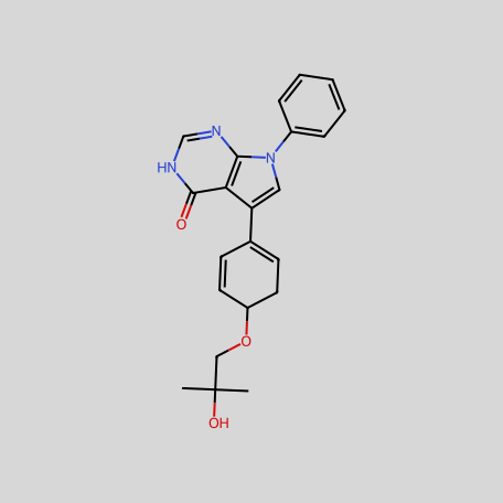 CC(C)(O)COC1C=CC(c2cn(-c3ccccc3)c3nc[nH]c(=O)c23)=CC1